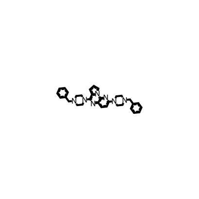 c1ccc(CN2CCN(c3ccc4nc(N5CCN(Cc6ccccc6)CC5)c5cccn5c4n3)CC2)cc1